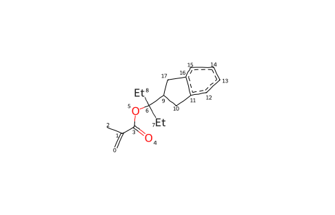 C=C(C)C(=O)OC(CC)(CC)C1Cc2ccccc2C1